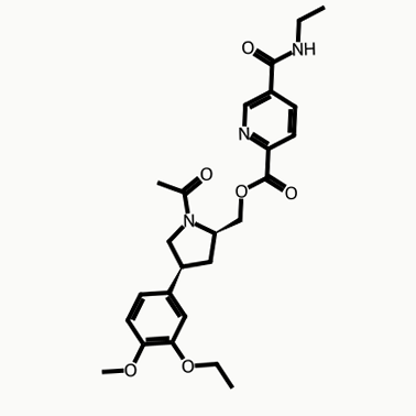 CCNC(=O)c1ccc(C(=O)OC[C@H]2C[C@@H](c3ccc(OC)c(OCC)c3)CN2C(C)=O)nc1